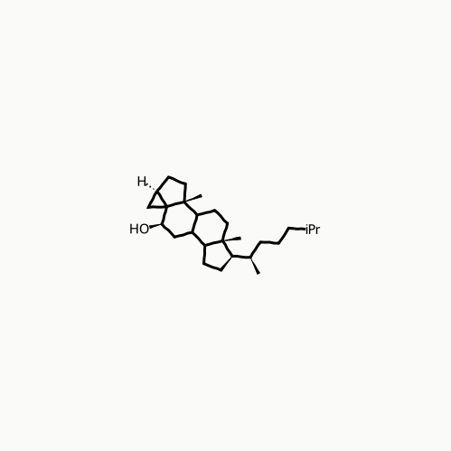 CC(C)CCC[C@@H](C)[C@H]1CCC2C3C[C@@H](O)C45C[C@H]4CC[C@]5(C)C3CC[C@@]21C